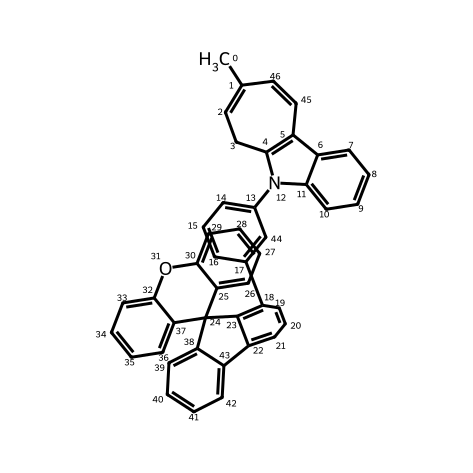 CC1=CCc2c(c3ccccc3n2-c2cccc(-c3cccc4c3C3(c5ccccc5Oc5ccccc53)c3ccccc3-4)c2)C=C1